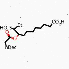 CCCCCCCCCCCC(=O)OC(CCCCCCCC(=O)O)C(CC)S(=O)(=O)O